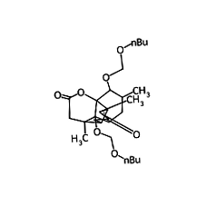 CCCCOCOC1C(C)CCC2(OCOCCCC)C3(C)CC(=O)OC12C1=C(C)C(=O)CC13